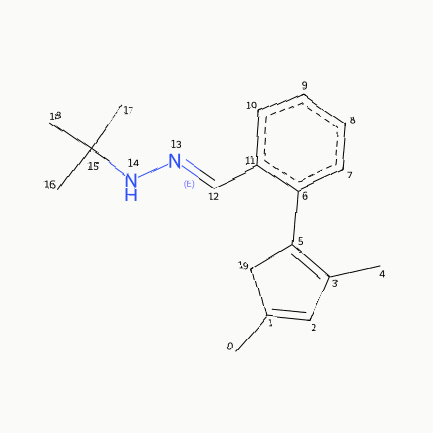 CC1=CC(C)=C(c2ccccc2/C=N/NC(C)(C)C)C1